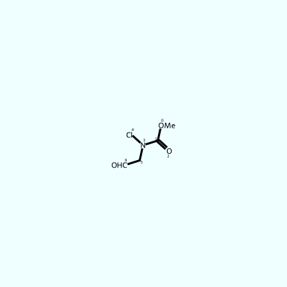 COC(=O)N(Cl)CC=O